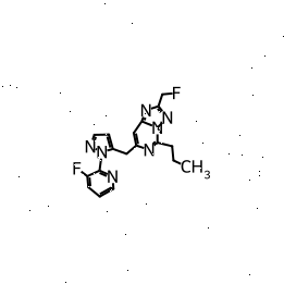 CCCc1nc(Cc2ccnn2-c2ncccc2F)cc2nc(CF)nn12